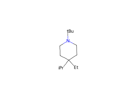 CCC1(C(C)C)CCN(C(C)(C)C)CC1